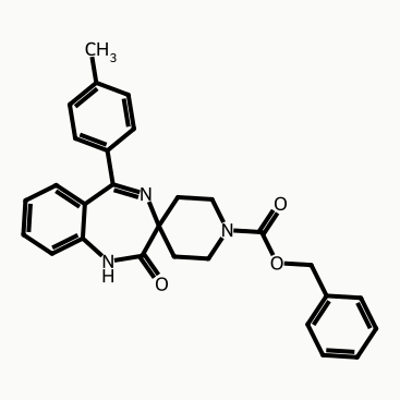 Cc1ccc(C2=NC3(CCN(C(=O)OCc4ccccc4)CC3)C(=O)Nc3ccccc32)cc1